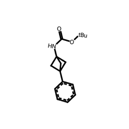 CC(C)(C)OC(=O)NC12CC(c3ccccc3)(C1)C2